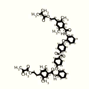 C=C(C)C(=O)OCCc1cc(C)c(C(=O)Nc2ccccc2Oc2ccc(S(=O)(=O)c3ccc(Oc4ccccc4NC(=O)c4cc(C)c(CCOC(=O)C(=C)C)cc4C)cc3)cc2)cc1C